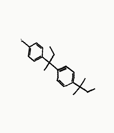 CCC(C)(C)c1ccc(C(C)(CC)c2ccc(I)cc2)cc1